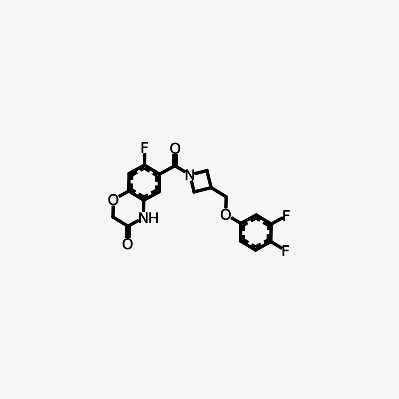 O=C1COc2cc(F)c(C(=O)N3CC(COc4ccc(F)c(F)c4)C3)cc2N1